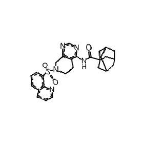 O=C(Nc1ncnc2c1CCN(S(=O)(=O)c1cccc3cccnc13)C2)C12CC3CC(CC(C3)C1)C2